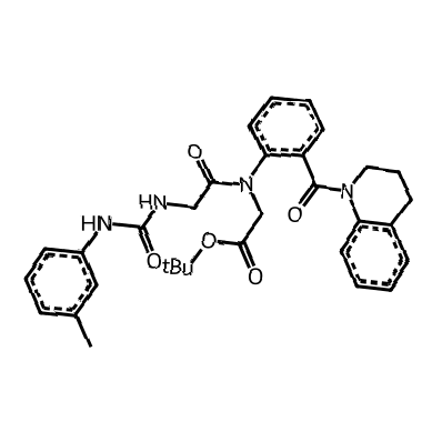 Cc1cccc(NC(=O)NCC(=O)N(CC(=O)OC(C)(C)C)c2ccccc2C(=O)N2CCCc3ccccc32)c1